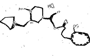 CC(=O)N1CCN(C(=O)OC(=O)Cc2ccccc2C(F)(F)F)C[C@H]1CN1CCCC1.Cl